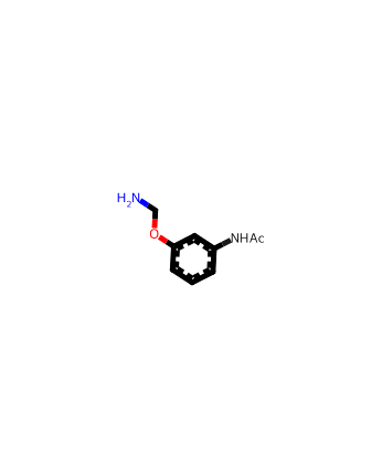 CC(=O)Nc1cccc(OCN)c1